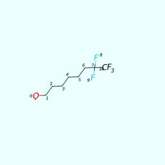 [O]CCCCCCC(F)(F)C(F)(F)F